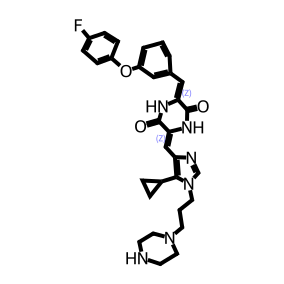 O=c1[nH]/c(=C\c2ncn(CCCN3CCNCC3)c2C2CC2)c(=O)[nH]/c1=C\c1cccc(Oc2ccc(F)cc2)c1